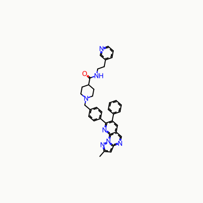 Cc1cc2ncc3cc(-c4ccccc4)c(-c4ccc(CN5CCC(C(=O)NCCc6cccnc6)CC5)cc4)nc3n2n1